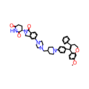 COc1ccc2c(c1)OCCC(c1ccccc1)=C2c1ccc(N2CCC(CN3CCN(c4ccc5c(c4)CN([C@@H]4CCC(=O)NC4=O)C5=O)CC3)CC2)cc1